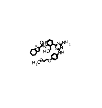 COCCOc1ccc(Nc2nc(N)nc(-c3cccc(NC(=O)c4cc5c(s4)CCCC5)c3CO)n2)cc1